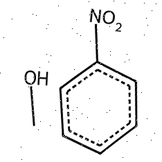 CO.O=[N+]([O-])c1ccccc1